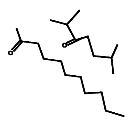 CC(C)CCC(=O)C(C)C.CCCCCCCCCC(C)=O